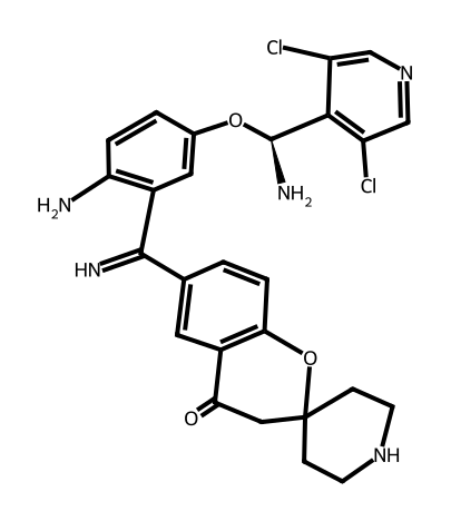 N=C(c1ccc2c(c1)C(=O)CC1(CCNCC1)O2)c1cc(O[C@H](N)c2c(Cl)cncc2Cl)ccc1N